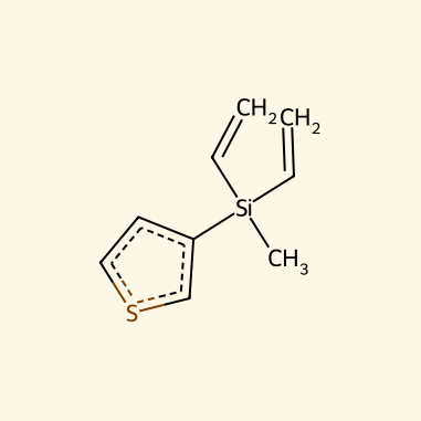 C=C[Si](C)(C=C)c1ccsc1